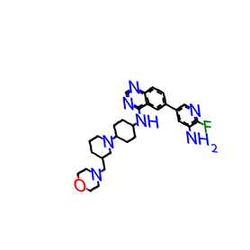 Nc1cc(-c2ccc3ncnc(NC4CCC(N5CCCC(CN6CCOCC6)C5)CC4)c3c2)cnc1F